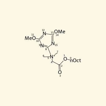 CCCCCCCCOC(=O)C[N+](C)(C)c1nc(OC)nc(OC)n1